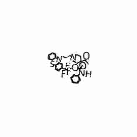 CC(=O)C1(OC(=O)Nc2ccccc2)CCN(CCCN2c3ccccc3Sc3ccc(C(F)(F)F)cc32)CC1